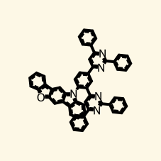 c1ccc(-c2cc(-c3ccc(-n4c5ccccc5c5cc6oc7ccccc7c6cc54)c(-c4cc(-c5ccccc5)nc(-c5ccccc5)n4)c3)nc(-c3ccccc3)n2)cc1